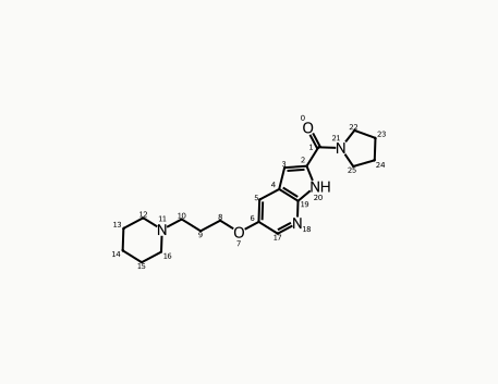 O=C(c1cc2cc(OCCCN3CCCCC3)cnc2[nH]1)N1CCCC1